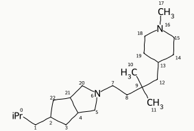 CC(C)CC1CC2CN(CCC(C)(C)CC3CCN(C)CC3)CC2C1